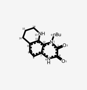 CCCCn1c(=O)c(=O)[nH]c2ccc3c(c21)NCCC3